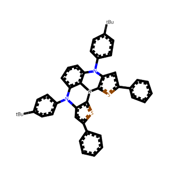 CC(C)(C)c1ccc(N2c3cc(-c4ccccc4)sc3B3c4sc(-c5ccccc5)cc4N(c4ccc(C(C)(C)C)cc4)c4cccc2c43)cc1